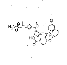 COC(C1=C[C@H](C(C)CS(N)(=O)=O)C1)[C@@H]1CC[C@H]1CN1C[C@@]2(CCCc3cc(Cl)ccc32)COc2ccc(C(=O)O)cc21